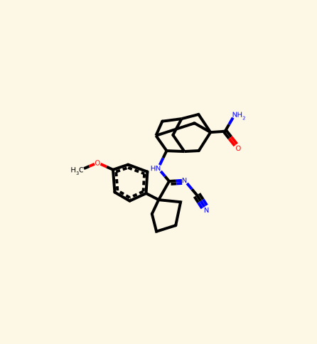 COc1ccc(C2(/C(=N\C#N)NC3C4CC5CC3CC(C(N)=O)(C5)C4)CCCC2)cc1